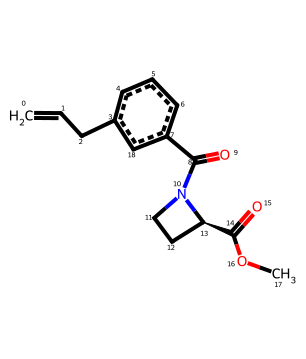 C=CCc1cccc(C(=O)N2CC[C@@H]2C(=O)OC)c1